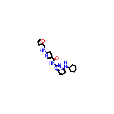 O=C(Nc1nc2cccc(NC3CCCCC3)n2n1)c1ccc(NCc2ccco2)nc1